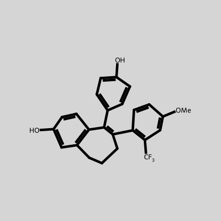 COc1ccc(C2=C(c3ccc(O)cc3)c3ccc(O)cc3CCC2)c(C(F)(F)F)c1